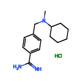 CN(Cc1ccc(C(=N)N)cc1)C1CCCCC1.Cl